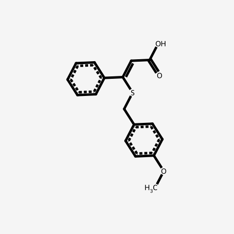 COc1ccc(CS/C(=C\C(=O)O)c2ccccc2)cc1